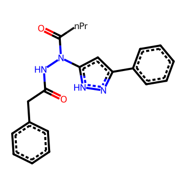 CCCC(=O)N(NC(=O)Cc1ccccc1)c1cc(-c2ccccc2)n[nH]1